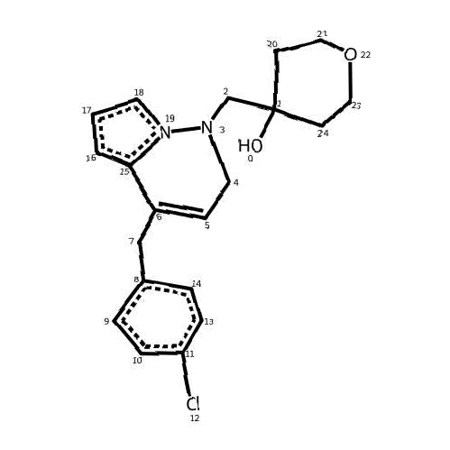 OC1(CN2CC=C(Cc3ccc(Cl)cc3)c3cccn32)CCOCC1